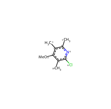 COc1c(C)c(C)nc(Cl)c1C